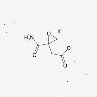 NC(=O)C1(CC(=O)[O-])CO1.[K+]